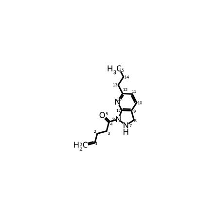 C=CCCC(=O)N1NCc2ccc(CCC)nc21